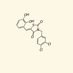 O=C1SC(=Cc2cccc(O)c2O)C(=O)N1Cc1ccc(Cl)c(Cl)c1